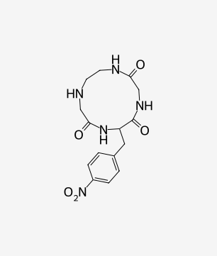 O=C1CNC(=O)C(Cc2ccc([N+](=O)[O-])cc2)NC(=O)CNCCN1